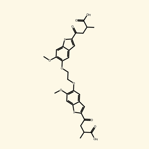 COc1cc2sc(C(=O)CC(C)C(=O)O)cc2cc1OCCOc1cc2cc(C(=O)CC(C)C(=O)O)sc2cc1OC